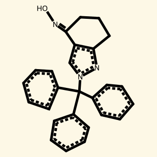 ON=C1CCCc2nn(C(c3ccccc3)(c3ccccc3)c3ccccc3)cc21